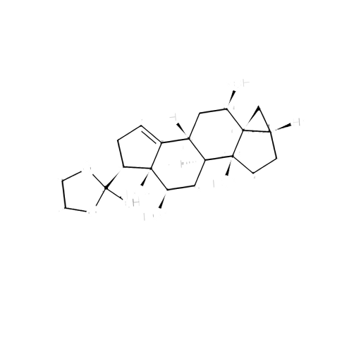 CC1([C@H]2CC=C3[C@@H]4C[C@@H](O)[C@]56C[C@@H]5CC[C@]6(C)[C@H]4C[C@@H](O)[C@@]32C)OCCO1